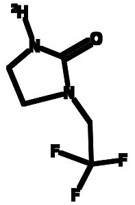 [2H]N1CCN(CC(F)(F)F)C1=O